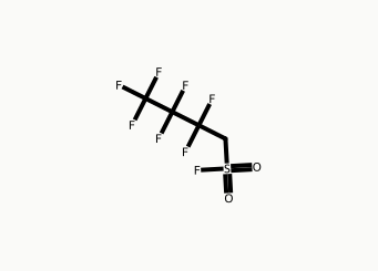 O=S(=O)(F)CC(F)(F)C(F)(F)C(F)(F)F